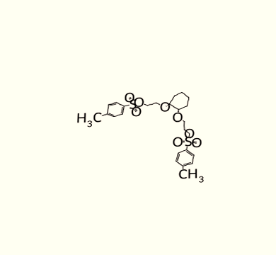 Cc1ccc(S(=O)(=O)OCCO[C@@H]2CCCC[C@H]2OCCOS(=O)(=O)c2ccc(C)cc2)cc1